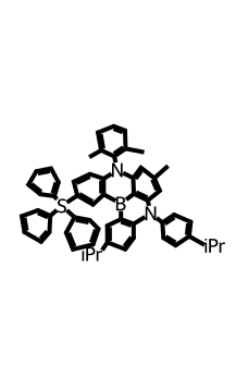 Cc1cc2c3c(c1)N(c1c(C)cccc1C)c1ccc(S(c4ccccc4)(c4ccccc4)c4ccccc4)cc1B3c1cc(C(C)C)ccc1N2c1ccc(C(C)C)cc1